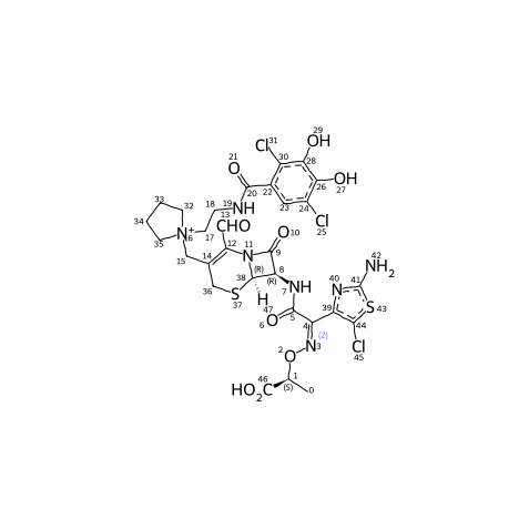 C[C@H](O/N=C(\C(=O)N[C@@H]1C(=O)N2C(C=O)=C(C[N+]3(CCNC(=O)c4cc(Cl)c(O)c(O)c4Cl)CCCC3)CS[C@H]12)c1nc(N)sc1Cl)C(=O)O